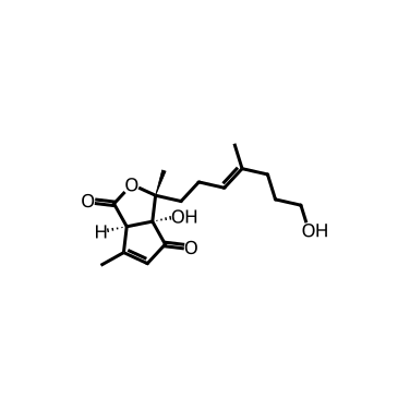 CC1=CC(=O)[C@@]2(O)[C@@H]1C(=O)O[C@]2(C)CC/C=C(\C)CCCO